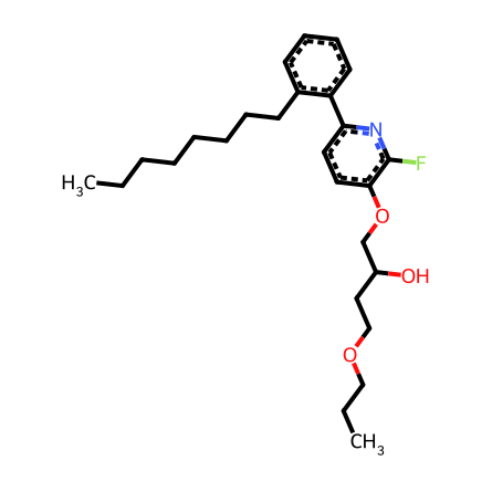 CCCCCCCCc1ccccc1-c1ccc(OCC(O)CCOCCC)c(F)n1